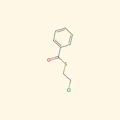 O=C(SCCCl)c1ccccc1